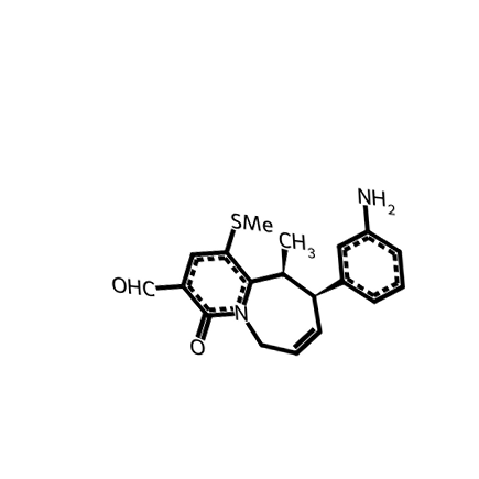 CSc1cc(C=O)c(=O)n2c1[C@@H](C)[C@@H](c1cccc(N)c1)C=CC2